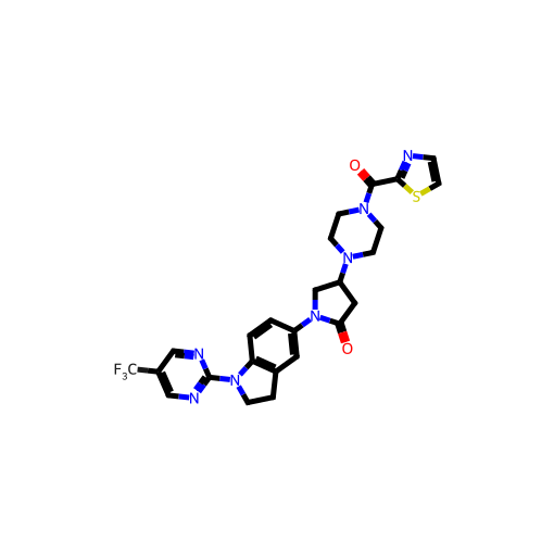 O=C(c1nccs1)N1CCN(C2CC(=O)N(c3ccc4c(c3)CCN4c3ncc(C(F)(F)F)cn3)C2)CC1